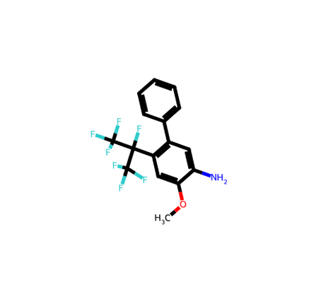 COc1cc(C(F)(C(F)(F)F)C(F)(F)F)c(-c2ccccc2)cc1N